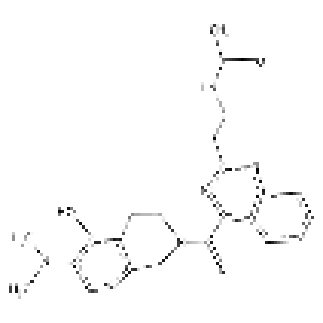 CC(=O)NCCc1nc(C(=O)N2CCc3c(ccc(N(C)C)c3O)C2)c2ccccc2n1